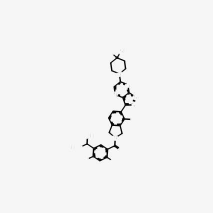 CC(C)c1cc(C(=O)N2Cc3ccc(-c4n[nH]c5nc(N6CCC(C)(N)CC6)cnc45)c(Cl)c3C2)c(O)cc1O